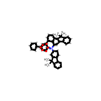 CC1(C)c2ccccc2-c2ccc(N(c3ccc(-c4ccccc4)cc3)c3cc4c(c5cccc(-c6ccccc6)c35)C(C)(C)c3ccccc3-4)cc21